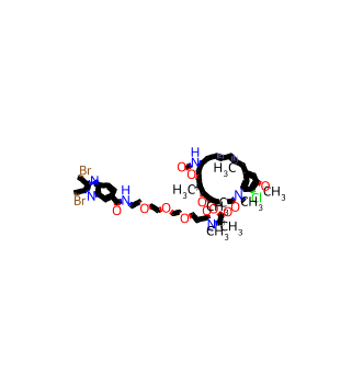 COc1cc2cc(c1Cl)N(C)C(=O)C[C@H](OC(=O)[C@@H](C)N(C)C(=O)CCOCCOCCOCCNC(=O)c1ccc3nc(CBr)c(CBr)nc3c1)[C@]1(C)OC1[C@H](C)C1CC(C/C=C/C=C(\C)C2)NC(=O)O1